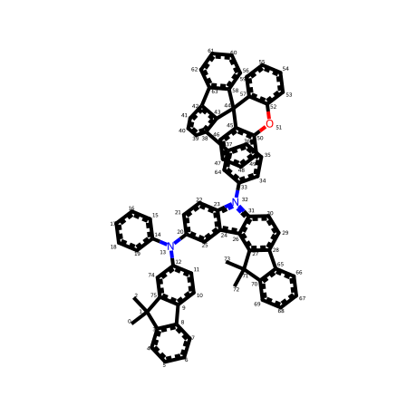 CC1(C)c2ccccc2-c2ccc(N(c3ccccc3)c3ccc4c(c3)c3c5c(ccc3n4-c3cccc(-c4cccc6c4C4(c7ccccc7Oc7ccccc74)c4ccccc4-6)c3)-c3ccccc3C5(C)C)cc21